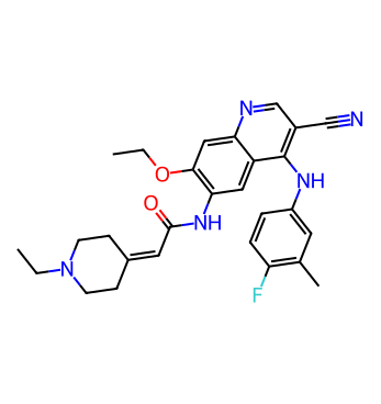 CCOc1cc2ncc(C#N)c(Nc3ccc(F)c(C)c3)c2cc1NC(=O)C=C1CCN(CC)CC1